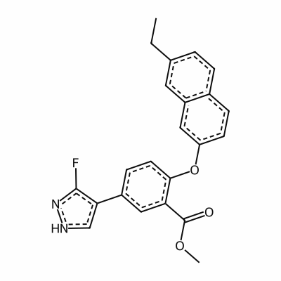 CCc1ccc2ccc(Oc3ccc(-c4c[nH]nc4F)cc3C(=O)OC)cc2c1